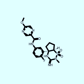 COc1cnc(C(=O)Nc2ccc(F)c([C@]34CCC[C@H]3S(=O)(=O)N(C)C(=N)N4)c2)cn1